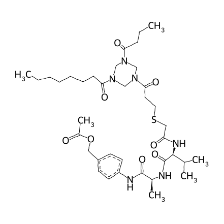 CCCCCCCC(=O)N1CN(C(=O)CCC)CN(C(=O)CCSCC(=O)N[C@H](C(=O)N[C@@H](C)C(=O)Nc2ccc(COC(C)=O)cc2)C(C)C)C1